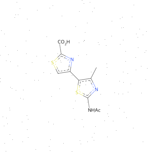 CC(=O)Nc1nc(C)c(-c2csc(C(=O)O)n2)s1